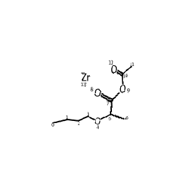 CCCCOC(C)C(=O)OC(C)=O.[Zr]